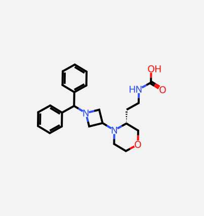 O=C(O)NCC[C@@H]1COCCN1C1CN(C(c2ccccc2)c2ccccc2)C1